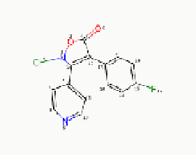 O=c1on(Cl)c(-c2ccncc2)c1-c1ccc(F)cc1